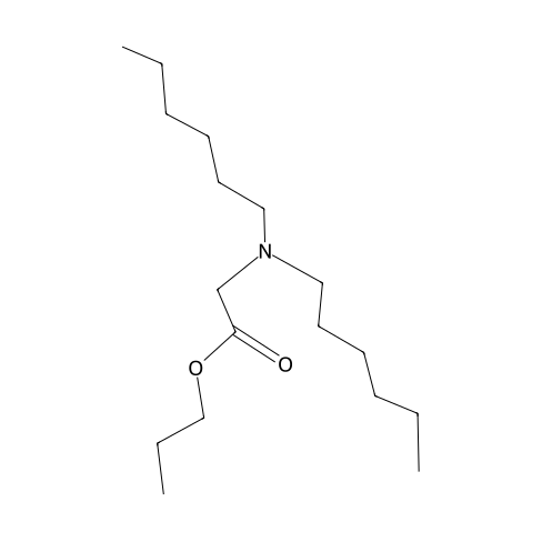 CCCCCCN(CCCCCC)CC(=O)OCCC